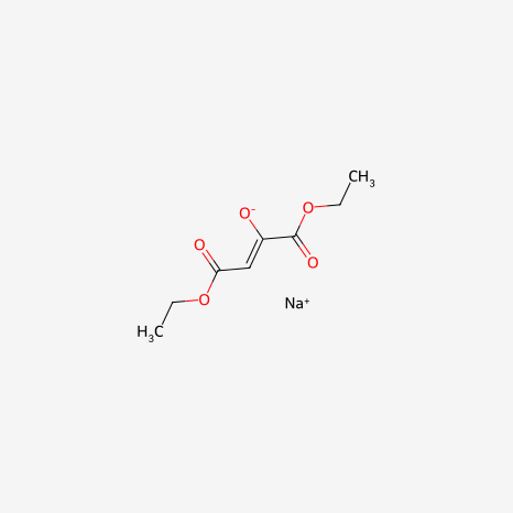 CCOC(=O)C=C([O-])C(=O)OCC.[Na+]